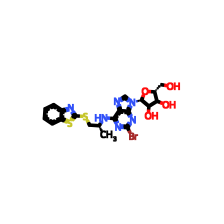 C[C@H](CSc1nc2ccccc2s1)Nc1nc(Br)nc2c1ncn2[C@@H]1O[C@H](CO)C(O)C1O